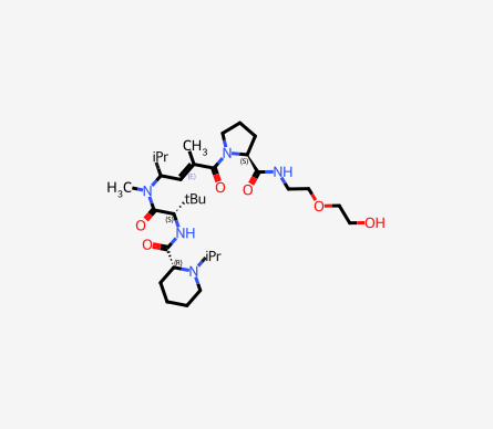 C/C(=C\C(C(C)C)N(C)C(=O)[C@@H](NC(=O)[C@H]1CCCCN1C(C)C)C(C)(C)C)C(=O)N1CCC[C@H]1C(=O)NCCOCCO